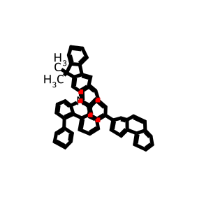 CC1(C)c2ccccc2-c2ccc(N(c3ccc(-c4ccc5c(ccc6ccccc65)c4)cc3)c3cccc(-c4ccccc4)c3-c3ccccc3-c3ccccc3)cc21